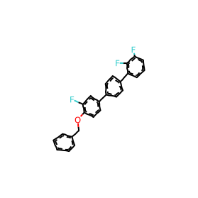 Fc1cc(-c2ccc(-c3cccc(F)c3F)cc2)ccc1OCc1ccccc1